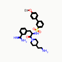 CCOc1ccc(-c2cccc(S(=O)(=O)NC(Cc3cccc(C(=N)N)c3)C(=O)N3CCC(CCN)CC3)c2)cc1